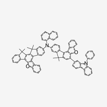 CC1(C)c2cc(N(c3ccc4c(c3)C(C)(C)c3c5c(c6oc7ccccc7c6c3-4)-c3ccccc3C5(C)C)c3cccc4ccccc34)ccc2-c2c1cc(-c1ccc3c4ccccc4n(-c4ccccc4)c3c1)c1oc3ccccc3c21